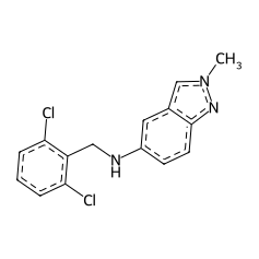 Cn1cc2cc(NCc3c(Cl)cccc3Cl)ccc2n1